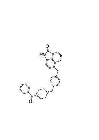 O=C1Nc2ccc(Cc3ccc(CN4CCN(C(=O)c5ccccc5)CC4)cc3)c3cccc1c23